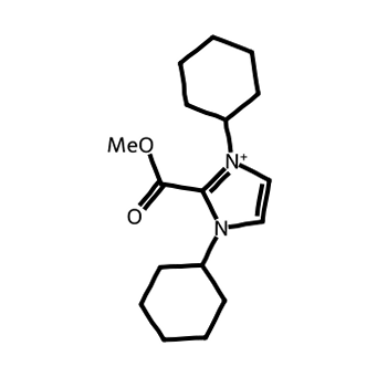 COC(=O)c1n(C2CCCCC2)cc[n+]1C1CCCCC1